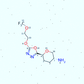 N[C@@H]1CC[C@@H](c2nnc(OCCOC(F)(F)F)o2)OC1